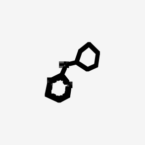 c1cnc(NC2CCCCC2)nc1